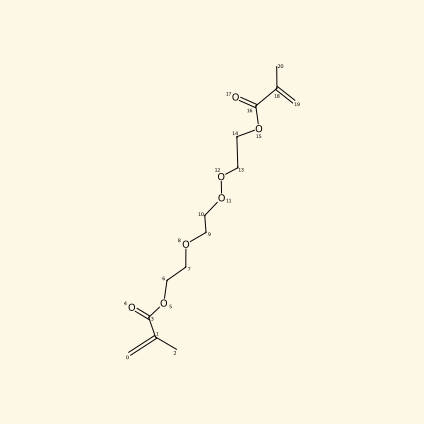 C=C(C)C(=O)OCCOCCOOCCOC(=O)C(=C)C